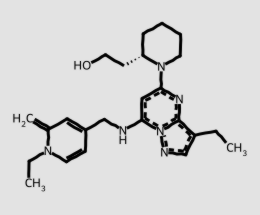 C=C1C=C(CNc2cc(N3CCCC[C@H]3CCO)nc3c(CC)cnn23)C=CN1CC